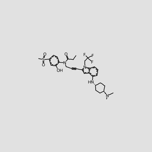 CCC(=O)N(CC#Cc1cc2c(N[C@H]3CC[C@H](N(C)C)CC3)cccc2n1CC(F)(F)F)c1ccc(S(C)(=O)=O)cc1O